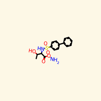 CC(O)C(NS(=O)(=O)c1ccc(-c2ccccc2)cc1)C(=O)ON